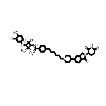 CC1(C)C(NC(=O)c2ccc(CCCCCCN3CCC(c4ccc5c(c4)CN(C4CCC(=O)NC4=O)C5=O)CC3)cc2)C(C)(C)C1Oc1ccc(C#N)c(Cl)c1